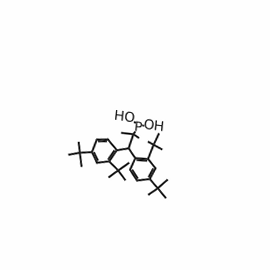 CC(C)(C)c1ccc(C(c2ccc(C(C)(C)C)cc2C(C)(C)C)C(C)(C)P(O)O)c(C(C)(C)C)c1